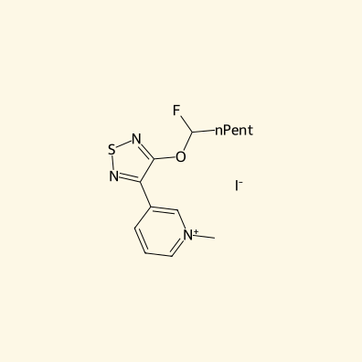 CCCCCC(F)Oc1nsnc1-c1ccc[n+](C)c1.[I-]